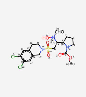 CC(C)(C)OC(=O)N1CCC[C@@H]1[C@@H](CS(=O)(=O)N1CCc2cc(Cl)c(Cl)cc2C1)N(O)C=O